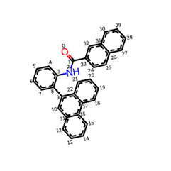 O=C(Nc1ccccc1-c1cc2ccccc2c2ccccc12)c1ccc2ccccc2c1